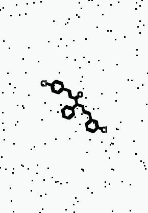 O=C(C=Cc1ccc(Cl)cc1)C(CC=Cc1cccc(Cl)c1)c1ccccc1